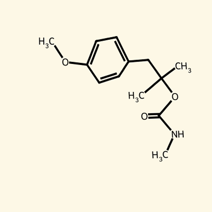 CNC(=O)OC(C)(C)Cc1ccc(OC)cc1